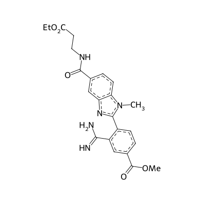 CCOC(=O)CCNC(=O)c1ccc2c(c1)nc(-c1ccc(C(=O)OC)cc1C(=N)N)n2C